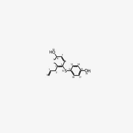 C=CC/C(C)=C(/C=C\C(C)O)Sc1ccc(O)cc1